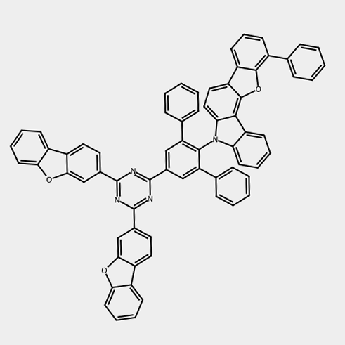 c1ccc(-c2cc(-c3nc(-c4ccc5c(c4)oc4ccccc45)nc(-c4ccc5c(c4)oc4ccccc45)n3)cc(-c3ccccc3)c2-n2c3ccccc3c3c4oc5c(-c6ccccc6)cccc5c4ccc32)cc1